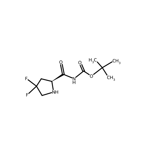 CC(C)(C)OC(=O)NC(=O)[C@@H]1CC(F)(F)CN1